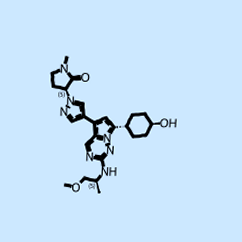 COC[C@H](C)Nc1ncc2c(-c3cnn([C@H]4CCN(C)C4=O)c3)cc([C@H]3CC[C@H](O)CC3)n2n1